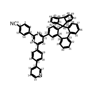 N#Cc1ccc(-c2nc(-c3ccc(-c4cccnc4)cc3)cc(-c3ccc4c(c3)-c3ccccc3-c3ccccc3C43c4ccccc4-c4ccccc43)n2)cc1